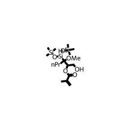 C=C(C)C(=O)OC(CO)C(CCC)(OC)[SiH](O[Si](C)(C)C)O[Si](C)(C)C